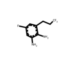 Nc1cc(F)cc(CCC(F)(F)F)c1N